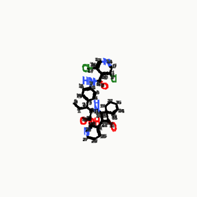 CCC(c1ccc(NC(=O)c2c(Cl)cncc2Cl)cc1)[C@H](NC1=C(c2cccnc2)C(=O)C12CCCCC2)C(=O)O